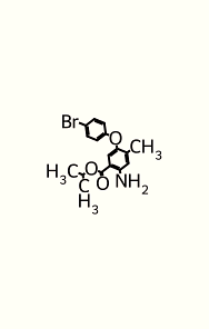 Cc1cc(N)c(C(=O)OC(C)C)cc1Oc1ccc(Br)cc1